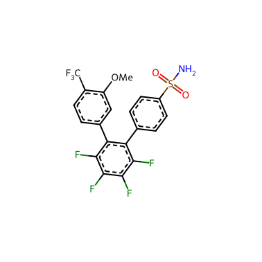 COc1cc(-c2c(F)c(F)c(F)c(F)c2-c2ccc(S(N)(=O)=O)cc2)ccc1C(F)(F)F